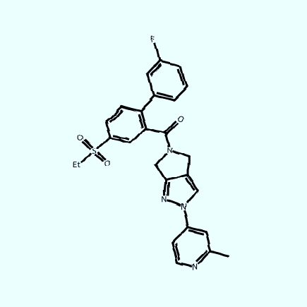 CCS(=O)(=O)c1ccc(-c2cccc(F)c2)c(C(=O)N2Cc3cn(-c4ccnc(C)c4)nc3C2)c1